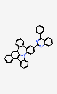 c1ccc(-c2nc(-c3ccc4c(c3)-c3ccccc3-c3cc5ccccc5c5c6ccccc6n-4c35)nc3ccccc23)cc1